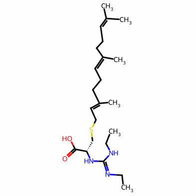 CC/N=C(\NCC)N[C@@H](CSC/C=C(\C)CC/C=C(\C)CCC=C(C)C)C(=O)O